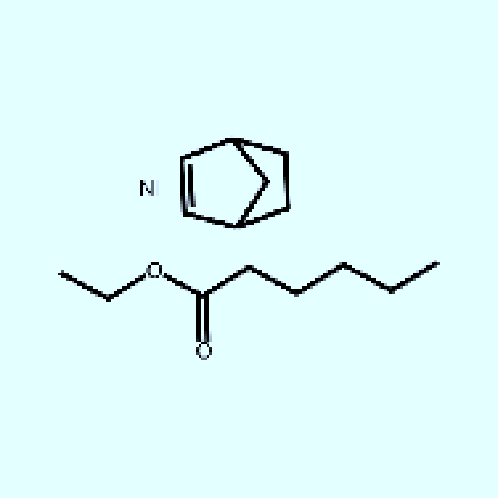 C1=CC2CCC1C2.CCCCCC(=O)OCC.[Ni]